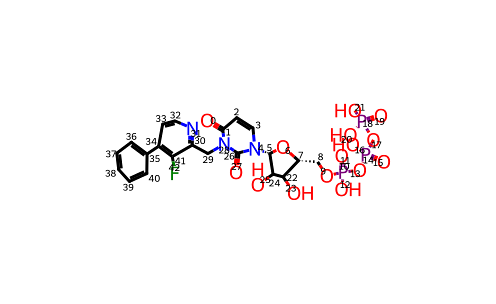 O=c1ccn([C@@H]2O[C@H](COP(=O)(O)OP(=O)(O)OP(=O)(O)O)C(O)C2O)c(=O)n1Cc1nccc(-c2ccccc2)c1F